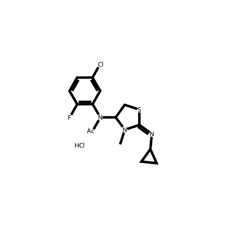 CC(=O)N(c1cc(Cl)ccc1F)C1CSC(=NC2CC2)N1C.Cl